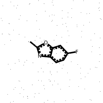 [CH2]c1nc2ccc(F)cc2o1